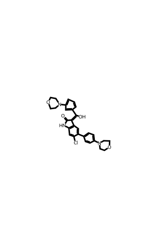 O=C1Nc2cc(Cl)c(-c3ccc(N4CCOCC4)cc3)cc2/C1=C(\O)c1cccc(N2CCOCC2)c1